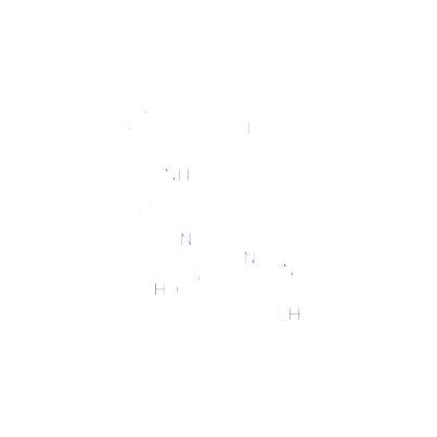 COc1nc(C(=O)NCC2(c3ccc(F)cc3)CC2)ccc1-n1cnc(C)c1